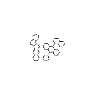 c1cc(-c2cccc3cc4c(cc23)sc2c3ccccc3ccc42)cc(-c2c3ccccc3c(-c3cccc4ccccc34)c3ccccc23)c1